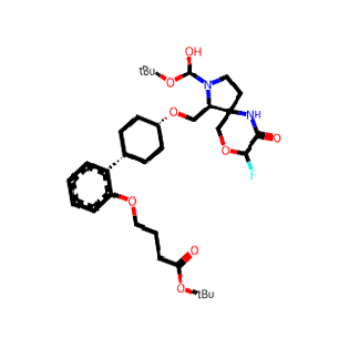 CC(C)(C)OC(=O)CCCOc1ccccc1[C@H]1CC[C@@H](OCC2N(C(O)OC(C)(C)C)CCC23COC(F)C(=O)N3)CC1